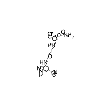 NC(=O)COc1cc(CNCCCCOCCNc2cc(-c3cnoc3)cc3[nH]ncc23)cc(OC(F)(F)F)c1